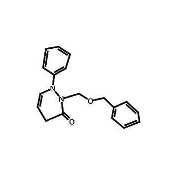 O=C1CC=CN(c2ccccc2)N1COCc1ccccc1